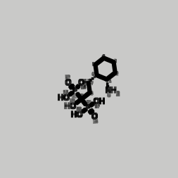 N[C@H]1CCCC[C@H]1CCC(O)(P(=O)(O)O)P(=O)(O)O